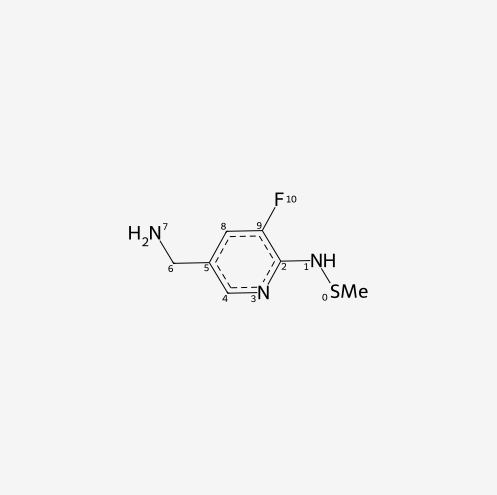 CSNc1ncc(CN)cc1F